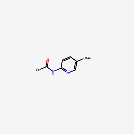 CCC(=O)Nc1ccc(OC)cn1